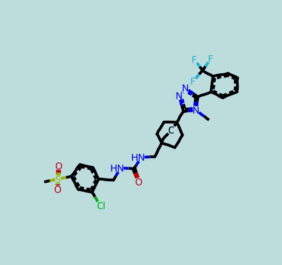 Cn1c(-c2ccccc2C(F)(F)F)nnc1C12CCC(CNC(=O)NCc3ccc(S(C)(=O)=O)cc3Cl)(CC1)CC2